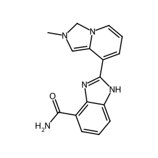 CN1C=C2C(c3nc4c(C(N)=O)cccc4[nH]3)=CC=CN2C1